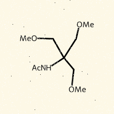 COCC(COC)(COC)NC(C)=O